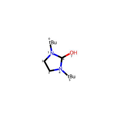 CC(C)(C)N1CCN(C(C)(C)C)C1O